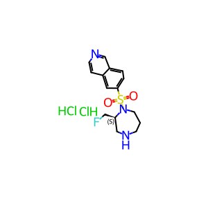 Cl.Cl.O=S(=O)(c1ccc2cnccc2c1)N1CCCNC[C@H]1CF